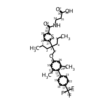 CCCC(CCC)(COc1cc(C)c(-c2ccc(C(F)(F)F)cc2)c(C)c1)c1ccc(C(=O)NCCC(=O)O)s1